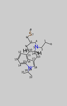 CCCN1CC(CSC)C[C@@H]2c3cccc4c3c(cn4C(C)C)C[C@H]21